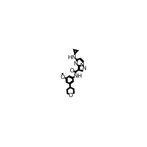 COc1cc(NC(=O)c2cnn3ccc(NC4CC4)nc23)cc(C2CCOCC2)c1